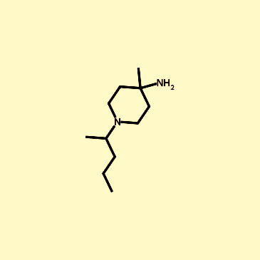 CCCC(C)N1CCC(C)(N)CC1